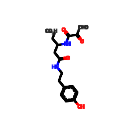 O=CC(=O)C(=O)NC(CC(=O)O)CC(=O)NCCc1ccc(O)cc1